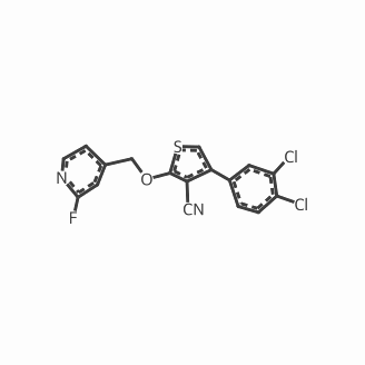 N#Cc1c(-c2ccc(Cl)c(Cl)c2)csc1OCc1ccnc(F)c1